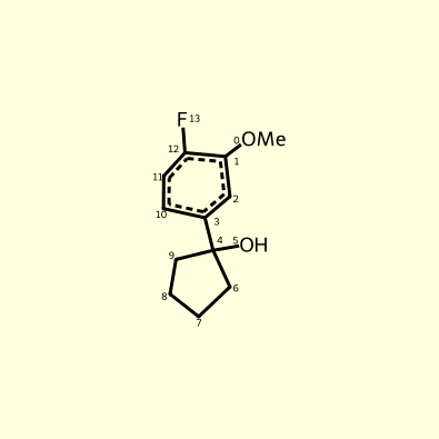 COc1cc(C2(O)CCCC2)ccc1F